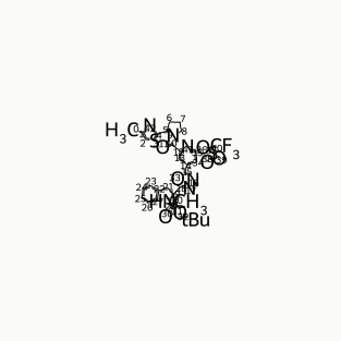 Cc1csc(C2CCCN2C(=O)c2cc(-c3nnc(C(C)(Cc4ccccc4)NC(=O)OC(C)(C)C)o3)cc(OS(=O)(=O)C(F)(F)F)n2)n1